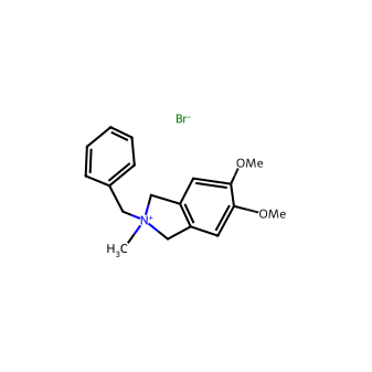 COc1cc2c(cc1OC)C[N+](C)(Cc1ccccc1)C2.[Br-]